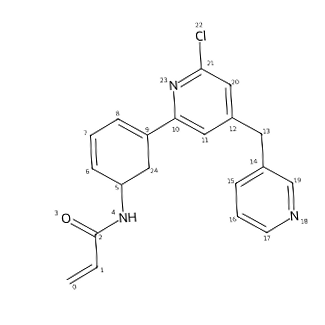 C=CC(=O)NC1C=CC=C(c2cc(Cc3cccnc3)cc(Cl)n2)C1